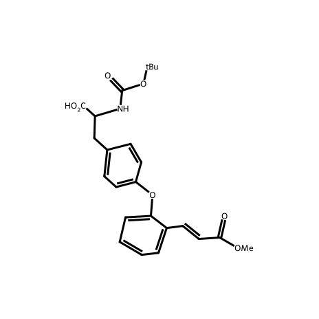 COC(=O)/C=C/c1ccccc1Oc1ccc(CC(NC(=O)OC(C)(C)C)C(=O)O)cc1